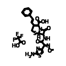 CON=C(C(=O)NC1C(=O)N2C(C(=O)O)=C(C=Cc3ccccc3)CS[C@@H]12)c1csc(N)n1.O=C(O)C(F)(F)F